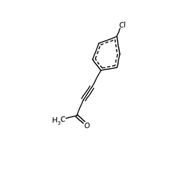 CC(=O)C#Cc1ccc(Cl)cc1